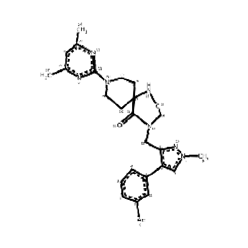 CC(=O)c1cccc(-c2cn(C)nc2CN2CCNC3(CCN(c4nc(C)cc(C)n4)CC3)C2=O)c1